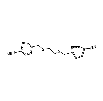 N#Cc1ccc(CSCCSCc2ccc(C#N)cc2)cc1